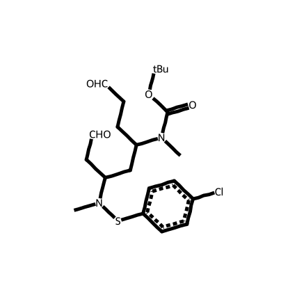 CN(Sc1ccc(Cl)cc1)C(CC=O)CC(CCC=O)N(C)C(=O)OC(C)(C)C